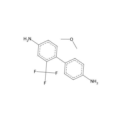 COC.Nc1ccc(-c2ccc(N)cc2C(F)(F)F)cc1